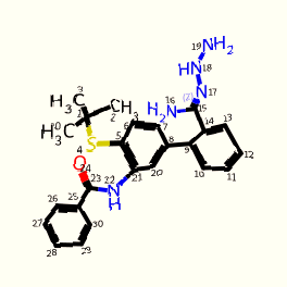 CC(C)(C)Sc1ccc(-c2ccccc2/C(N)=N/NN)cc1NC(=O)c1ccccc1